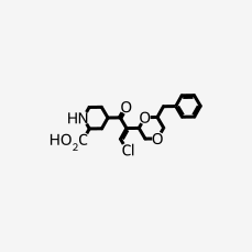 O=C(/C(=C/Cl)C1COCC(Cc2ccccc2)O1)C1CCNC(C(=O)O)C1